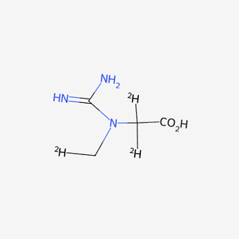 [2H]CN(C(=N)N)C([2H])([2H])C(=O)O